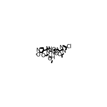 CCOC[C@@H]1COc2c(ccnc2OC)-c2nnc(NS(=O)(=O)[C@@H](C)[C@@H](OC(C)C)c3ncc(Cl)cn3)n21